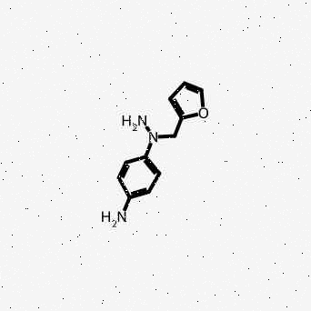 Nc1ccc(N(N)Cc2ccco2)cc1